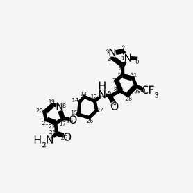 Cn1cncc1-c1cc(C(=O)NC2CCC(Oc3ncccc3C(N)=O)CC2)cc(C(F)(F)F)c1